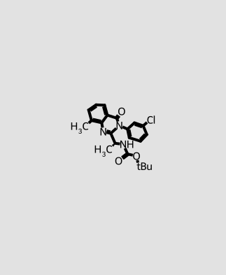 Cc1cccc2c(=O)n(-c3cccc(Cl)c3)c([C@H](C)NC(=O)OC(C)(C)C)nc12